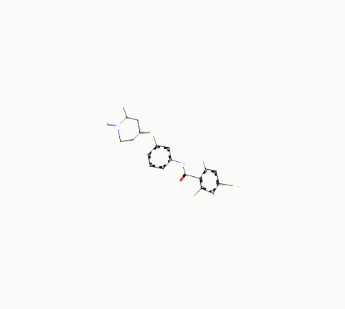 CC1CC(Sc2cccc(NC(=O)c3c(F)cc(F)cc3F)c2)CCN1C